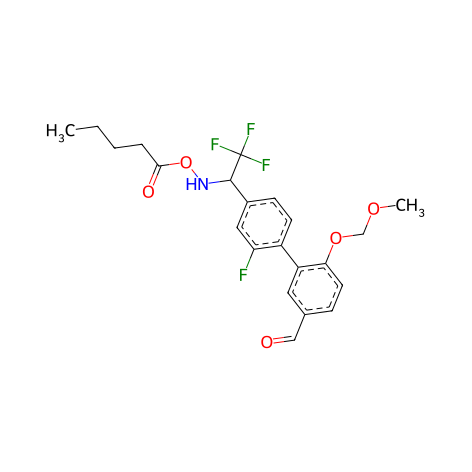 CCCCC(=O)ONC(c1ccc(-c2cc(C=O)ccc2OCOC)c(F)c1)C(F)(F)F